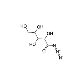 [N-]=[N+]=NC(=O)C(O)C(O)C(O)CO